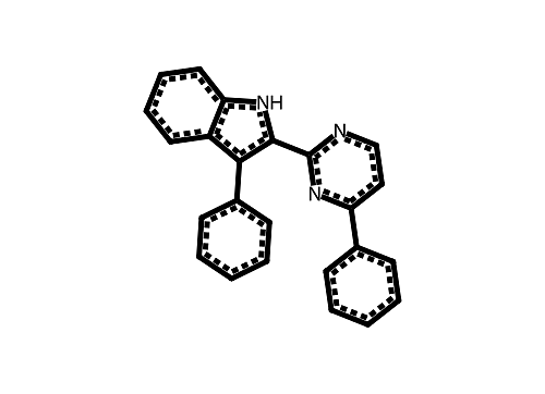 c1ccc(-c2ccnc(-c3[nH]c4ccccc4c3-c3ccccc3)n2)cc1